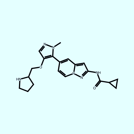 Cn1ncc(OCC2CCCN2)c1-c1ccn2nc(NC(=O)C3CC3)cc2c1